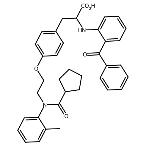 Cc1ccccc1N(CCOc1ccc(CC(Nc2ccccc2C(=O)c2ccccc2)C(=O)O)cc1)C(=O)C1CCCC1